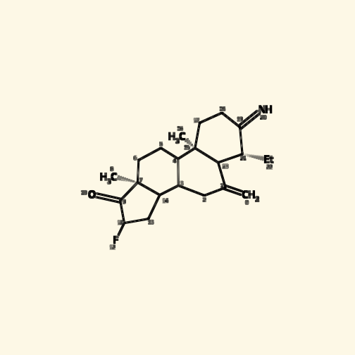 C=C1CC2C(CC[C@]3(C)C(=O)C(F)CC23)[C@@]2(C)CCC(=N)[C@H](CC)C12